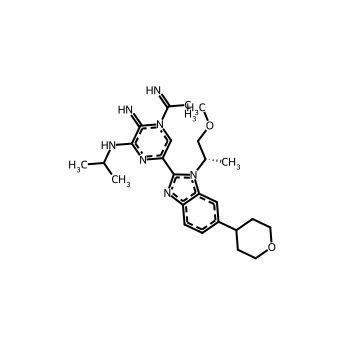 COC[C@H](C)n1c(-c2cn(C(C)=N)c(=N)c(NC(C)C)n2)nc2ccc(C3CCOCC3)cc21